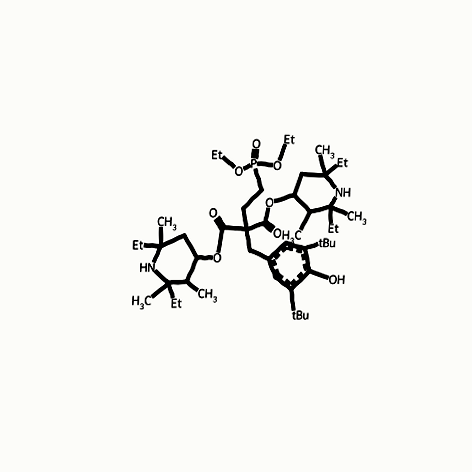 CCOP(=O)(CCC(Cc1cc(C(C)(C)C)c(O)c(C(C)(C)C)c1)(C(=O)OC1CC(C)(CC)NC(C)(CC)C1C)C(=O)OC1CC(C)(CC)NC(C)(CC)C1C)OCC